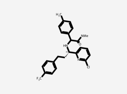 CNC(=O)C(N[C@@H](CCc1ccc(C(F)(F)F)cc1)c1cccc(Cl)n1)c1ccc(C)cc1